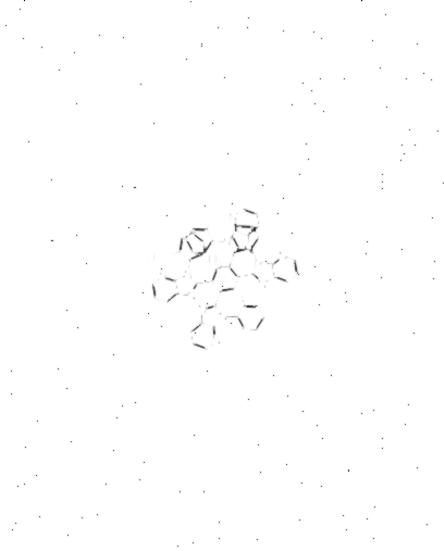 Cc1ccccc1-n1c(-c2cc(-c3nc4cccnc4n3-c3ccccc3C)c(-c3nc4cccnc4n3-c3ccccc3C)cc2-c2nc3cccnc3n2-c2ccccc2C)nc2cccnc21